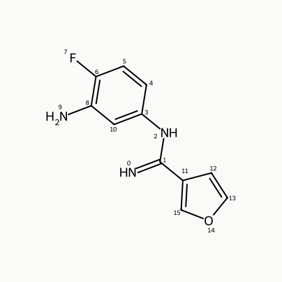 N=C(Nc1ccc(F)c(N)c1)c1ccoc1